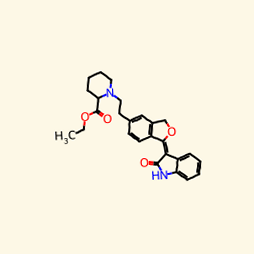 CCOC(=O)C1CCCCN1CCc1ccc2c(c1)CO/C2=C1/C(=O)Nc2ccccc21